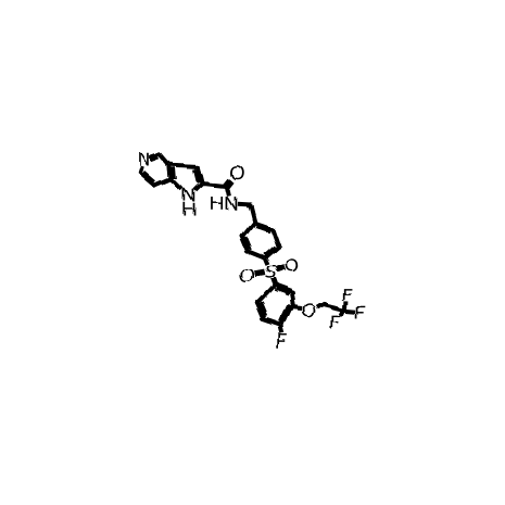 O=C(NCc1ccc(S(=O)(=O)c2ccc(F)c(OCC(F)(F)F)c2)cc1)c1cc2cnccc2[nH]1